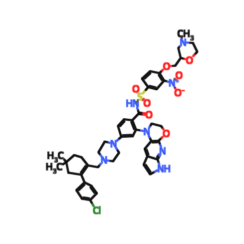 CN1CCOC(COc2ccc(S(=O)(=O)NC(=O)c3ccc(N4CCN(CC5=C(c6ccc(Cl)cc6)CC(C)(C)CC5)CC4)cc3N3CCOc4nc5[nH]ccc5cc43)cc2[N+](=O)[O-])C1